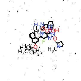 CN1CCC[C@H]1COc1nc(N2CC3CCC(C(N)=O)(C2)N3C(O)OC(C)(C)C)c2cnc(-c3cc(O[Si](C)(C)C(C)(C)C)cc4ccccc34)c(F)c2n1